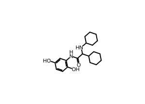 O=C(Nc1cc(O)ccc1O)C(NC1CCCCC1)C1CCCCC1